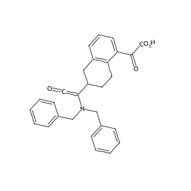 O=C=C(C1CCc2c(cccc2C(=O)C(=O)O)C1)N(Cc1ccccc1)Cc1ccccc1